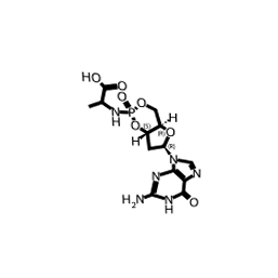 CC(NP1(=O)OC[C@H]2O[C@@H](n3cnc4c(=O)[nH]c(N)nc43)C[C@@H]2O1)C(=O)O